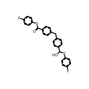 O=C(Oc1ccc(F)cc1)c1ccc(Cc2ccc(C(O)Oc3ccc(F)cc3)cc2)cc1